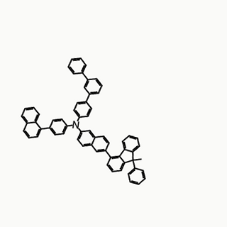 CC1(c2ccccc2)c2ccccc2-c2c(-c3ccc4cc(N(c5ccc(-c6cccc(-c7ccccc7)c6)cc5)c5ccc(-c6cccc7ccccc67)cc5)ccc4c3)cccc21